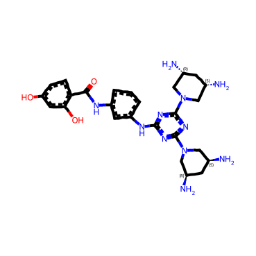 N[C@@H]1C[C@H](N)CN(c2nc(Nc3cccc(NC(=O)c4ccc(O)cc4O)c3)nc(N3C[C@H](N)C[C@H](N)C3)n2)C1